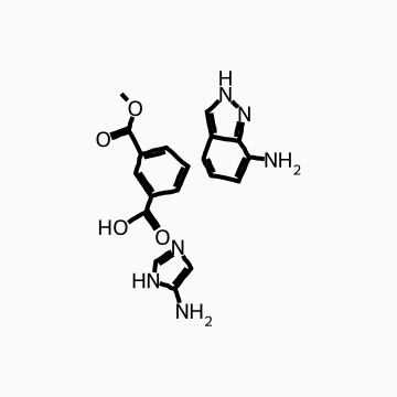 COC(=O)c1cccc(C(=O)O)c1.Nc1cccc2c[nH]nc12.Nc1cnc[nH]1